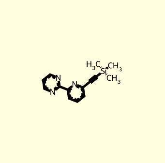 C[Si](C)(C)C#Cc1cccc(-c2ncccn2)n1